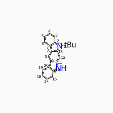 CC(C)(C)n1c2ccccc2c2cc3c(cc21)[nH]c1ccccc13